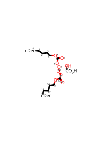 CCCCCCCCCCCCCCOC(=O)OOOOC(=O)OCCCCCCCCCCCCCC.O=C(O)O